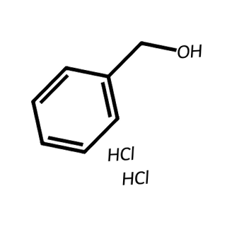 Cl.Cl.OCc1ccccc1